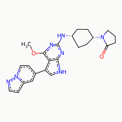 COc1nc(N[C@H]2CC[C@@H](N3CCCC3=O)CC2)nc2[nH]cc(-c3ccn4nccc4c3)c12